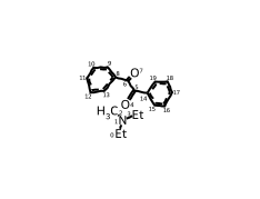 CCN(C)CC.O=C(C(=O)c1ccccc1)c1ccccc1